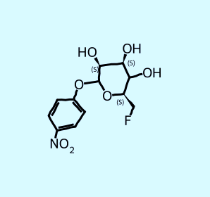 O=[N+]([O-])c1ccc(OC2O[C@H](CF)C(O)[C@H](O)[C@@H]2O)cc1